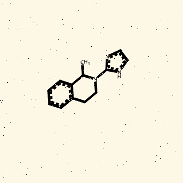 CC1c2ccccc2CCN1c1ncc[nH]1